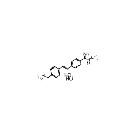 CNC(=N)c1ccc(C=Cc2ccc(CN)cc2)cc1.Cl.Cl